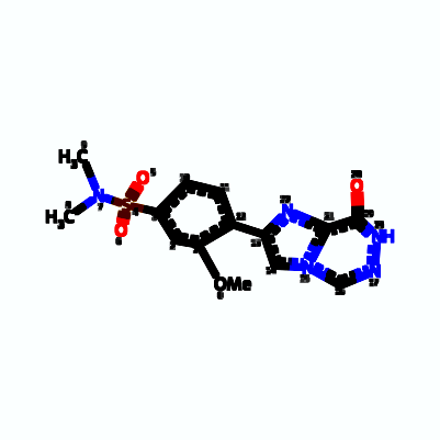 COc1cc(S(=O)(=O)N(C)C)ccc1-c1cn2cn[nH]c(=O)c2n1